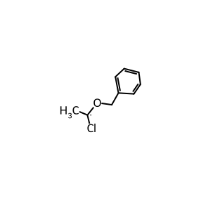 C[C](Cl)OCc1ccccc1